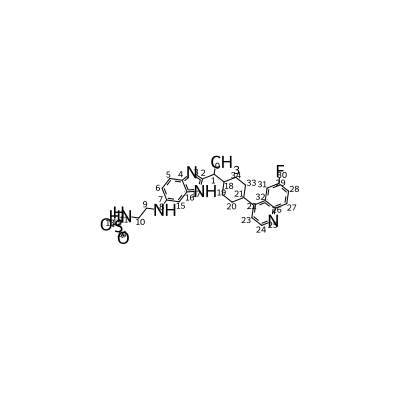 CC(c1nc2ccc(NCCN[SH](=O)=O)cc2[nH]1)C1CCC(c2ccnc3ccc(F)cc23)CC1